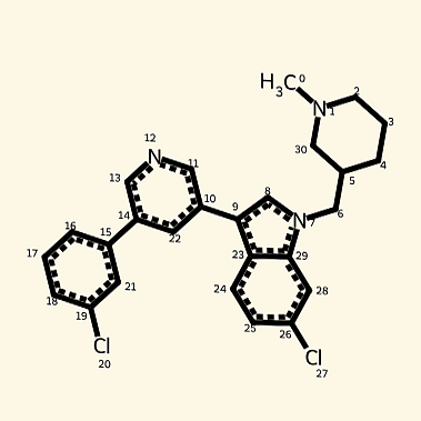 CN1CCCC(Cn2cc(-c3cncc(-c4cccc(Cl)c4)c3)c3ccc(Cl)cc32)C1